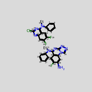 CCN(c1ccccc1)c1nc(Cl)nc2cc(F)c(F)cc12.CCN(c1ccccc1)c1nc2nncn2c2cc(N)c(F)cc12